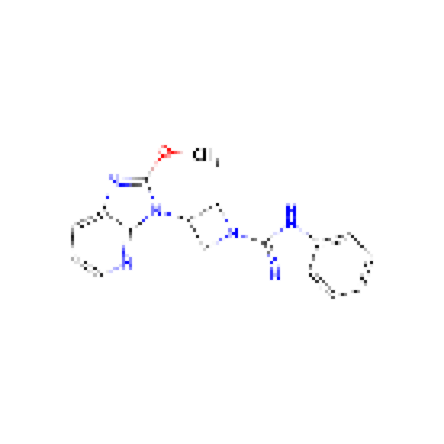 COc1nc2cccnc2n1C1CN(c2nc3ccccc3[nH]2)C1